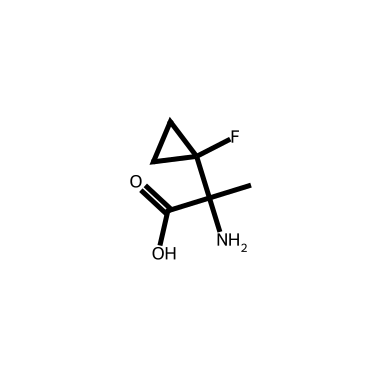 CC(N)(C(=O)O)C1(F)CC1